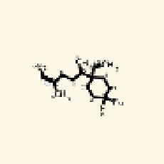 C=CC1(C(C)CC/C(C)=C\CC)CCC(F)(F)CC1